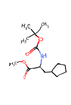 COC(=O)[C@H](CC1CCCC1)NC(=O)OC(C)(C)C